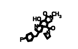 CN1Cc2c(c(O)c3ncc(Cc4ccc(F)cc4)cc3c2C(=O)N2CCC2)C1=O